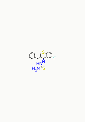 NC(=S)NN=C1c2cc(F)ccc2SCC1Cc1ccccc1